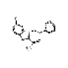 NC(=O)C1=C(CCc2cccnc2)c2cc(F)ccc2[N]1